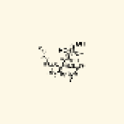 COCCNc1cc2c(cc1C)nc1c(=O)[nH]c(=O)nc-1n2C[C@H](O)[C@H](O)[C@H](O)CO